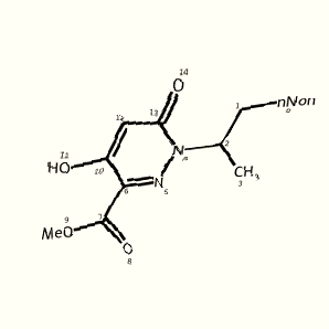 CCCCCCCCCCC(C)n1nc(C(=O)OC)c(O)cc1=O